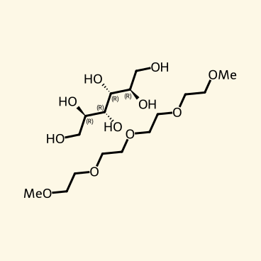 COCCOCCOCCOCCOC.OC[C@@H](O)[C@@H](O)[C@H](O)[C@H](O)CO